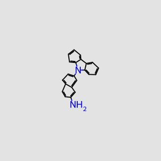 Nc1ccc2ccc(-n3c4ccccc4c4ccccc43)cc2c1